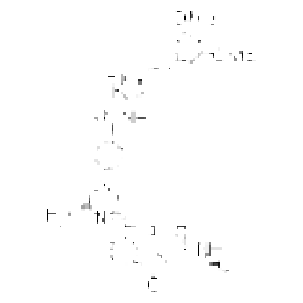 COc1cc(CCc2cc(NC(=O)c3ccc(N4C[C@@H](C)N(Cc5ccc6c(c5)CN(C5CCC(=O)NC5=O)C6=O)[C@@H](C)C4)cc3)n[nH]2)cc(OC)c1